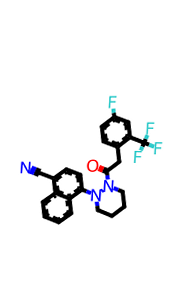 N#Cc1ccc(N2CCCCN2C(=O)Cc2ccc(F)cc2C(F)(F)F)c2ccccc12